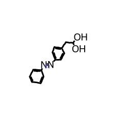 OC(O)Cc1ccc(/N=N/c2ccccc2)cc1